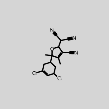 CC1=C(C#N)C(C(C#N)C#N)OC1(C)C1CC(Cl)=CC(Cl)C1